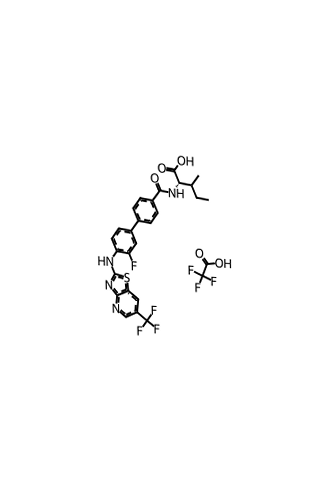 CCC(C)[C@H](NC(=O)c1ccc(-c2ccc(Nc3nc4ncc(C(F)(F)F)cc4s3)c(F)c2)cc1)C(=O)O.O=C(O)C(F)(F)F